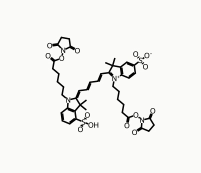 CC1(C)C(/C=C/C=C/C=C2/N(CCCCCC(=O)ON3C(=O)CCC3=O)c3cccc(S(=O)(=O)O)c3C2(C)C)=[N+](CCCCCC(=O)ON2C(=O)CCC2=O)c2ccc(S(=O)(=O)[O-])cc21